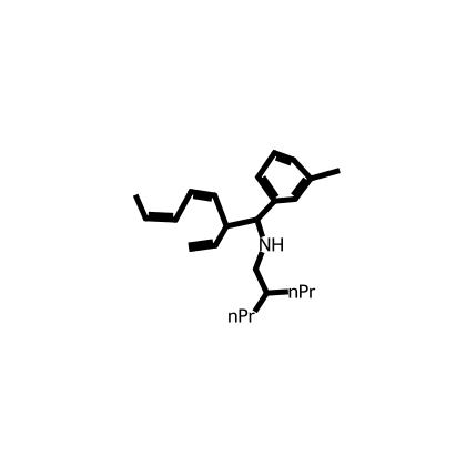 C=CC(/C=C\C=C/C)C(NCC(CCC)CCC)c1cccc(C)c1